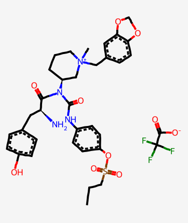 CCCS(=O)(=O)Oc1ccc(NC(=O)N(C(=O)[C@@H](N)Cc2ccc(O)cc2)[C@H]2CCC[N+](C)(Cc3ccc4c(c3)OCO4)C2)cc1.O=C([O-])C(F)(F)F